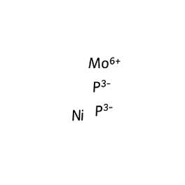 [Mo+6].[Ni].[P-3].[P-3]